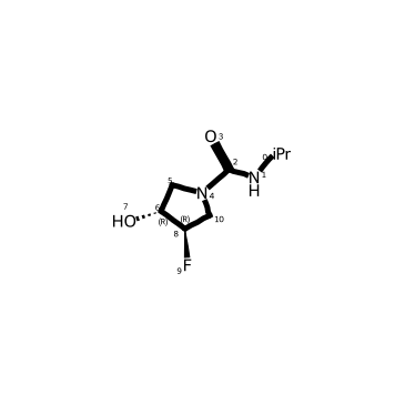 CC(C)NC(=O)N1C[C@@H](O)[C@H](F)C1